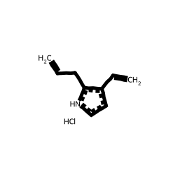 C=CCc1[nH]ccc1C=C.Cl